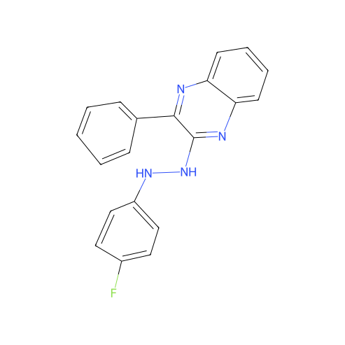 Fc1ccc(NNc2nc3ccccc3nc2-c2ccccc2)cc1